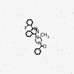 C[C@@H]1CN(C(=O)c2ccccc2)CCN1c1nnc(-c2ccccc2F)c2ccccc12